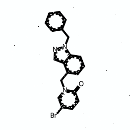 O=c1ccc(Br)cn1Cc1cccc2c1cnn2Cc1ccccc1